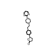 O=C1CCC(c2ccc(CCN3CCN(c4ncccn4)CC3)cc2)O1